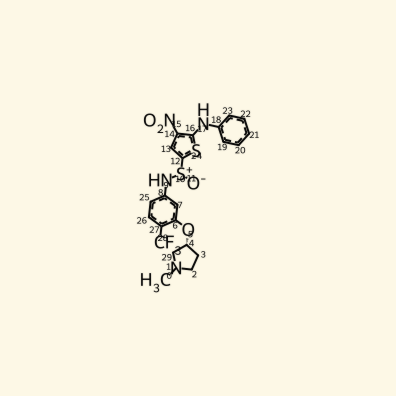 CN1CC[C@@H](Oc2cc(N[S+]([O-])c3cc([N+](=O)[O-])c(Nc4ccccc4)s3)ccc2C(F)(F)F)C1